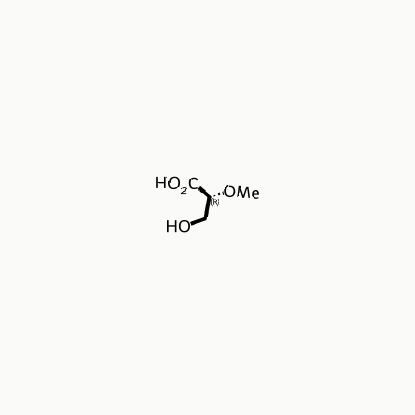 CO[C@H](CO)C(=O)O